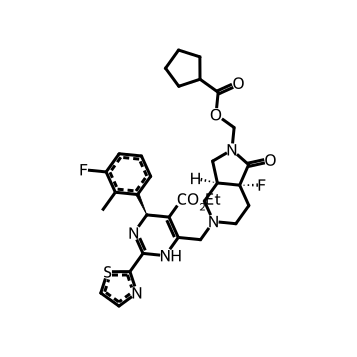 CCOC(=O)C1=C(CN2CC[C@]3(F)C(=O)N(COC(=O)C4CCCC4)C[C@@H]3C2)NC(c2nccs2)=N[C@H]1c1cccc(F)c1C